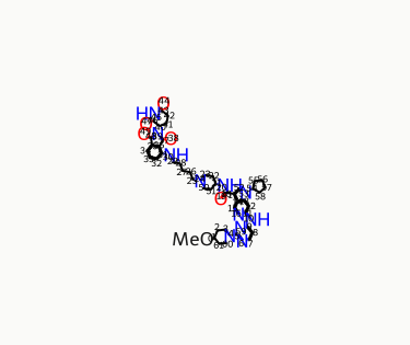 COC1CCN(c2nccc(Nc3cc4c(cn3)c(C(=O)NC3CCN(CCCCCNc5cccc6c5C(=O)N(C5CCC(=O)NC5=O)C6=O)CC3)cn4C3CCCC3)n2)CC1